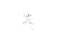 C#CC1C(C)=C2C(=C)/C(=C(\N)CCC=C)CC(C3CCCC3)C2(C)CC1C/C(C)=C(\C)C(=C)C